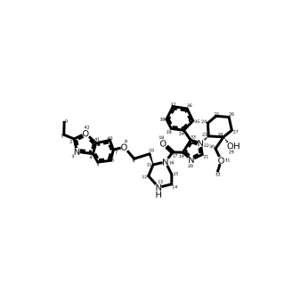 CCc1nc2ccc(OCC[C@@H]3CNCCN3C(=O)c3ncn([C@@H]4CCCC[C@@]4(O)COC)c3-c3ccccc3)cc2o1